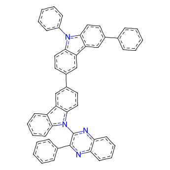 c1ccc(-c2ccc3c(c2)c2cc(-c4ccc5c(c4)c4ccccc4n5-c4nc5ccccc5nc4-c4ccccc4)ccc2n3-c2ccccc2)cc1